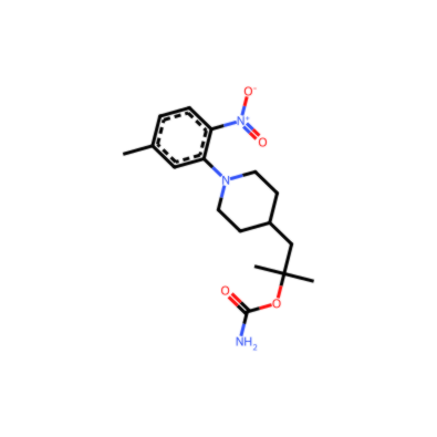 Cc1ccc([N+](=O)[O-])c(N2CCC(CC(C)(C)OC(N)=O)CC2)c1